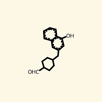 O=CC1CCC(Cc2cc(O)c3ccccc3c2)CC1